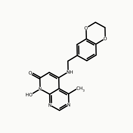 Cc1ncnc2c1c(NCc1ccc3c(c1)OCCO3)cc(=O)n2O